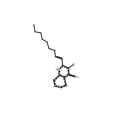 CCCCCCCC=Cc1[nH]c2ccccc2c(=O)c1C